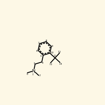 CN(C)CCc1ccccc1C(C)(C)C